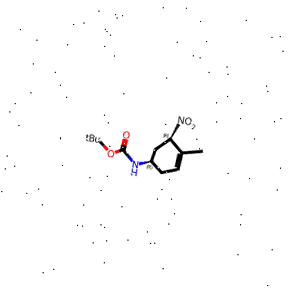 CC1=CC[C@@H](NC(=O)OC(C)(C)C)C[C@H]1[N+](=O)[O-]